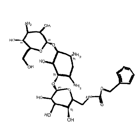 NC1C(O)[C@@H](OC2C(O)[C@H](O[C@H]3OC(CNC(=O)OCc4ccccc4)[C@@H](O)C(O)C3O)C(N)C[C@H]2N)OC(CO)[C@H]1O